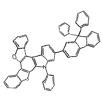 c1ccc(-n2c3cc(-c4ccc5c(c4)C(c4ccccc4)(c4ccccc4)c4ccccc4-5)ccc3c3c4c5ccccc5oc4c4c5ccccc5sc4c32)cc1